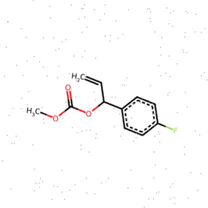 C=CC(OC(=O)OC)c1ccc(F)cc1